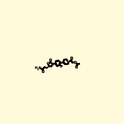 CC(=O)OCC(=O)N1CC=C(c2ccc(N3C[C@H](CCC(N)=O)OC3=O)cc2F)CC1